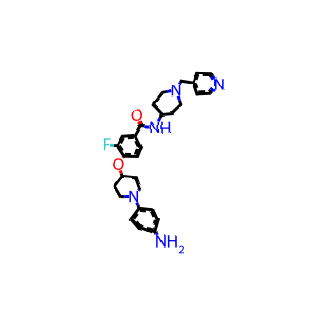 Nc1ccc(N2CCC(Oc3ccc(C(=O)NC4CCN(Cc5ccncc5)CC4)cc3F)CC2)cc1